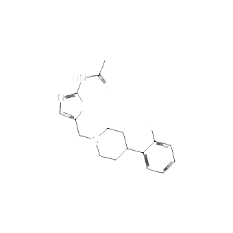 CC(=O)Nc1ncc(CN2CCC(c3ccccc3F)CC2)s1